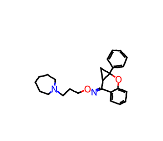 c1ccc(C23CC2C(=NOCCCN2CCCCCC2)c2ccccc2O3)cc1